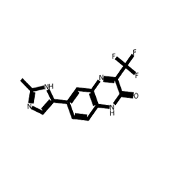 Cc1ncc(-c2ccc3[nH]c(=O)c(C(F)(F)F)nc3c2)[nH]1